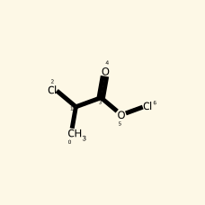 CC(Cl)C(=O)OCl